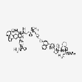 CN[C@@H](C)C(=O)NC(C(=O)N1CCC[C@H]1c1nc(-c2ccc(OCCOCCN(C)C(=O)CCNc3nc(N4CCN(C(N)=O)CC4)c4cc(Cl)c(-c5c(O)cccc5F)c(F)c4n3)c3ccccc23)cs1)C1CCCCC1